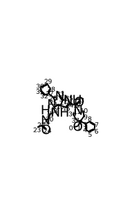 COC1(c2ccccc2)CCN(C(=O)c2cc3c(NCCNC(C)=O)nc(-c4ccccc4)nc3[nH]2)CC1